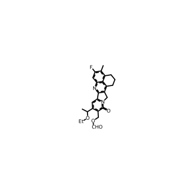 CCOC(C)c1cc2n(c(=O)c1COC=O)Cc1c-2nc2cc(F)c(C)c3c2c1CCC3